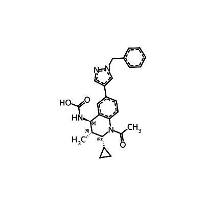 CC(=O)N1c2ccc(-c3cnn(Cc4ccccc4)c3)cc2[C@H](NC(=O)O)[C@@H](C)[C@H]1C1CC1